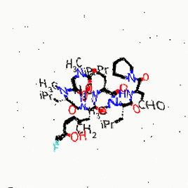 C=C(/C=C\C(O)=C\F)C[C@H](NC(=O)[C@H](CC(C)C)N(C)C(=O)CN(C)C(=O)CCC)C(=O)N(C)[C@@H](CC(C)C)C(=O)N(C)[C@@H](CC(C)C)C(=O)NC(CC=O)C(=O)N1CCCCC1